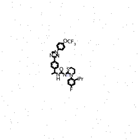 CC(C)c1cc(F)ccc1N1CCCS/C1=N\C(=O)NC(C)c1ccc(-c2ncn(-c3ccc(OC(F)(F)F)cc3)n2)cc1